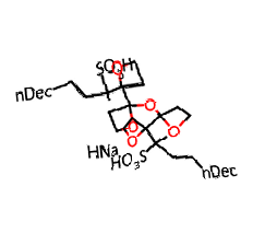 CCCCCCCCCCCCC(C)(C1(C2(OC3(C4(C(C)(CCCCCCCCCCCC)S(=O)(=O)O)CCO4)CCO3)CCO2)CCO1)S(=O)(=O)O.[NaH]